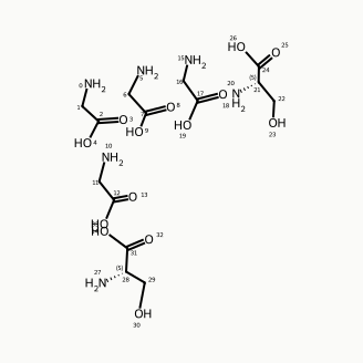 NCC(=O)O.NCC(=O)O.NCC(=O)O.NCC(=O)O.N[C@@H](CO)C(=O)O.N[C@@H](CO)C(=O)O